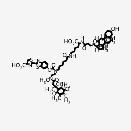 CC1=C(C)C(=O)C(C(C)(C)CC(=O)N(C)CCN(CCCCCC(=O)NCCCCC(NC(=O)CC[C@H]2O[C@H]3C[C@H]4[C@@H](CC[C@@H]5C[C@H](O)CC[C@@]54C)[C@@H]4CC[C@H]2[C@@]34C)C(=O)O)C(=O)Oc2ccc3nc(C4=NC(C(=O)O)CS4)sc3c2)=C(C)C1=O